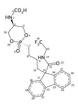 O=C(O)N[C@H]1CO[P@](=O)(CCCCC2(C(=O)NCC(F)(F)F)c3ccccc3-c3ccccc32)OC1